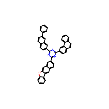 c1ccc(-c2ccc3ccc(-c4nc(-c5ccc6cc7c(cc6c5)oc5ccccc57)nc(-c5ccc6ccc7ccccc7c6c5)n4)cc3c2)cc1